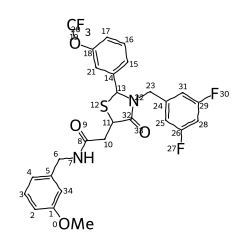 COc1cccc(CNC(=O)CC2SC(c3cccc(OC(F)(F)F)c3)N(Cc3cc(F)cc(F)c3)C2=O)c1